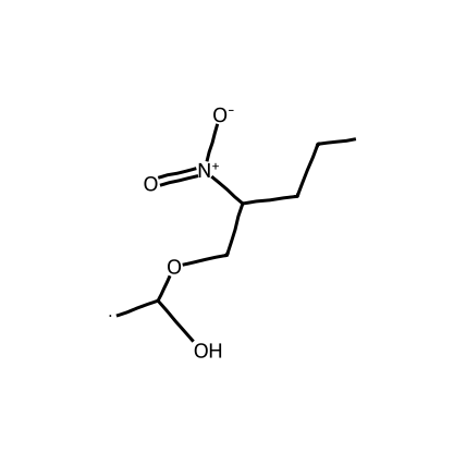 [CH2]C(O)OCC(CCC)[N+](=O)[O-]